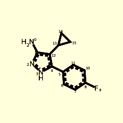 Nc1n[nH]c(-c2ccc(F)cc2)c1C1CC1